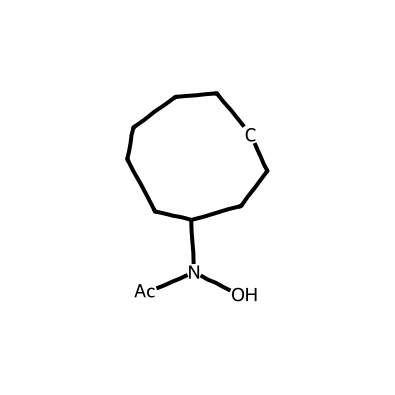 CC(=O)N(O)C1CCCCCCCC1